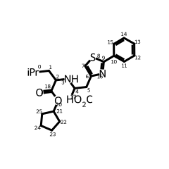 CC(C)CC(NC(Cc1csc(-c2ccccc2)n1)C(=O)O)C(=O)OC1CCCC1